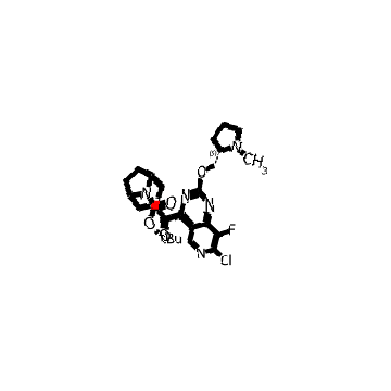 CN1CCC[C@H]1COc1nc(C(=O)N2CC3CCC(C2)N3C(=O)OC(C)(C)C)c2cnc(Cl)c(F)c2n1